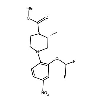 C[C@@H]1CN(c2ccc([N+](=O)[O-])cc2OC(F)F)CCN1C(=O)OC(C)(C)C